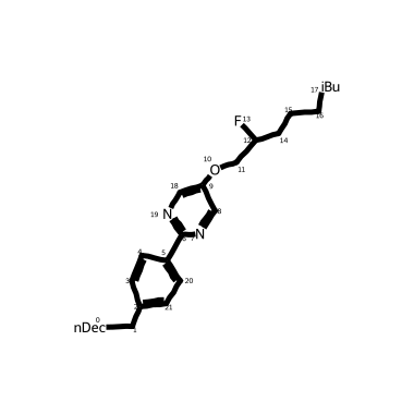 CCCCCCCCCCCc1ccc(-c2ncc(OCC(F)CCCC(C)CC)cn2)cc1